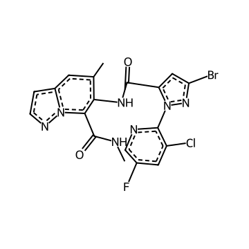 CNC(=O)c1c(NC(=O)c2cc(Br)nn2-c2ncc(F)cc2Cl)c(C)cc2ccnn12